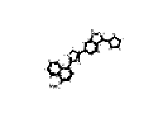 COc1ccc(C2=NCC(c3ccc4c(c3)N=NC4C3CCCC3)=N2)c2ccccc12